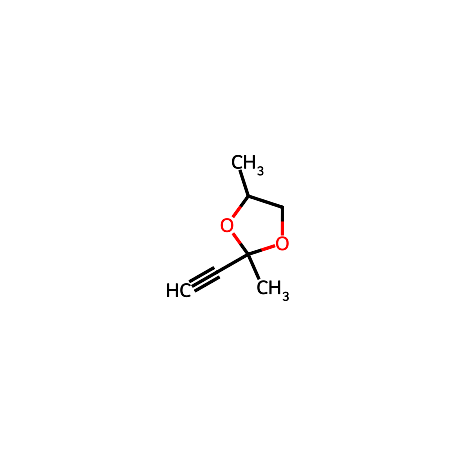 C#CC1(C)OCC(C)O1